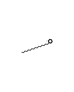 CCCCCCCCCCCCCCCCc1[c]cccc1